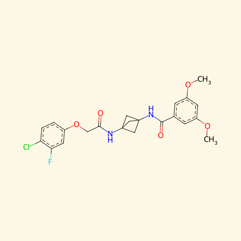 COc1cc(OC)cc(C(=O)NC23CC(NC(=O)COc4ccc(Cl)c(F)c4)(C2)C3)c1